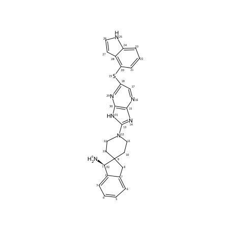 N[C@@H]1c2ccccc2CC12CCN(c1nc3ncc(Sc4cccc5[nH]ccc45)nc3[nH]1)CC2